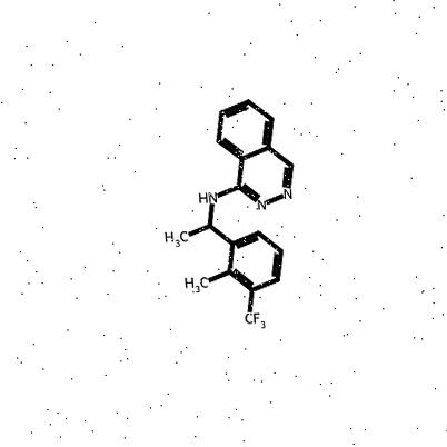 Cc1c(C(C)Nc2nncc3ccccc23)cccc1C(F)(F)F